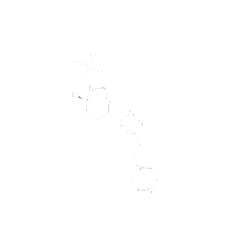 O=C1N2C[C@H](CC[C@H]2c2nnc(CCN3CCNCC3)o2)N1OS(=O)(=O)O